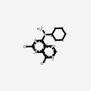 CN(c1nc(Cl)nc2c(Cl)ncnc12)C1CCCCC1